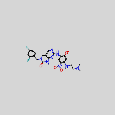 COc1cc(N(C)CCN(C)C)c([N+](=O)[O-])cc1Nc1ncc2c(n1)N(C)C(=O)N(Cc1ccc(F)cc1F)C2